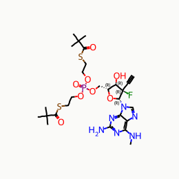 C#C[C@@]1(F)[C@H](O)[C@@H](COP(=O)(OCCSC(=O)C(C)(C)C)OCCSC(=O)C(C)(C)C)O[C@H]1n1cnc2c(NC)nc(N)nc21